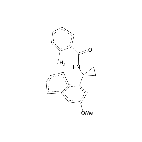 COc1cc(C2(NC(=O)c3ccccc3C)CC2)c2ccccc2c1